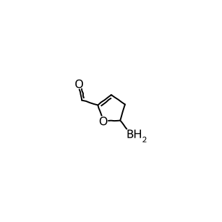 BC1CC=C(C=O)O1